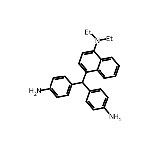 CCN(CC)c1ccc(C(c2ccc(N)cc2)c2ccc(N)cc2)c2ccccc12